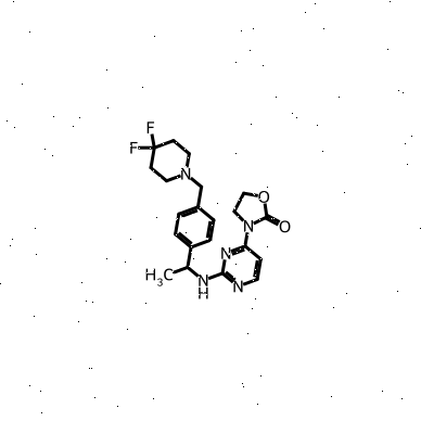 CC(Nc1nccc(N2CCOC2=O)n1)c1ccc(CN2CCC(F)(F)CC2)cc1